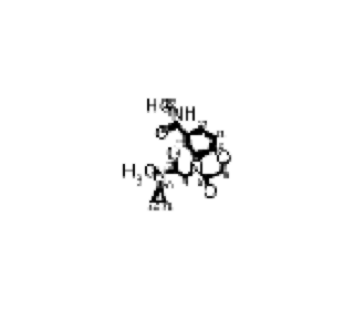 CN(C(=O)CN1C(=O)COc2ccc(C(=O)NO)cc21)C1CC1